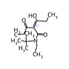 CCC(=O)/C(C(=O)N(CC)C(C)(C)C)=C(\O)CC